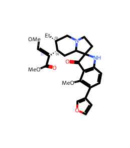 CC[C@@H]1CN2CCC3(Nc4ccc(-c5ccoc5)c(OC)c4C3=O)C2C[C@@H]1/C(=C\OC)C(=O)OC